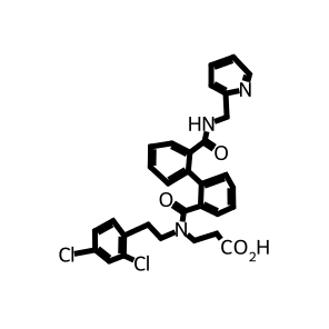 O=C(O)CCN(CCc1ccc(Cl)cc1Cl)C(=O)c1ccccc1-c1ccccc1C(=O)NCc1ccccn1